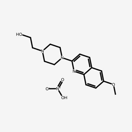 COc1ccc2nc(N3CCN(CCO)CC3)ccc2c1.O=[N+]([O-])O